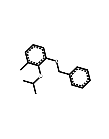 [CH2]c1cccc(OCc2ccccc2)c1OC(C)C